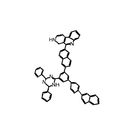 C1=Cc2c(c(-c3ccc4cc(-c5cc(C6=NC(c7ccccc7)=NC(c7ccccc7)N6)cc(-c6ccc(-c7ccc8ccccc8c7)cc6)c5)ccc4c3)nc3ccccc23)CN1